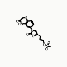 CS(=O)(=O)OCCC[C@@H]1CN(c2ccc3c(c2)NC(=O)CS3)C(=O)O1